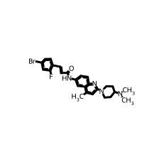 Cc1cc(N2CCC(N(C)C)CC2)nc2ccc(NC(=O)C=Cc3ccc(Br)cc3F)cc12